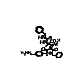 CC(=O)N(N1C(=O)N(Cc2ccccc2)[C@](C)(c2ccc(C=NN)cc2)C1=O)[C@](C)(NC(=S)NCc1ccccc1)C(=O)O